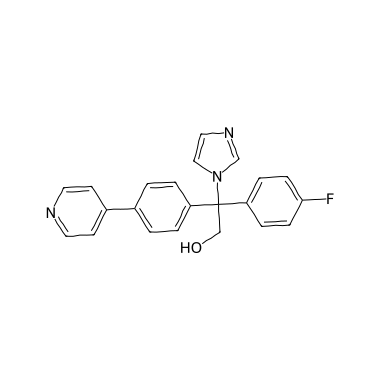 OCC(c1ccc(F)cc1)(c1ccc(-c2ccncc2)cc1)n1ccnc1